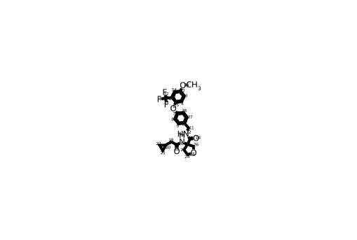 COc1ccc(Oc2ccc(CNC(=O)C3(NC(=O)CC4CC4)CCOC3)cc2)c(C(F)(F)F)c1